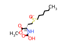 CCCCCC[S+]([O-])CC[C@H](NC(=O)O)C(=O)OC